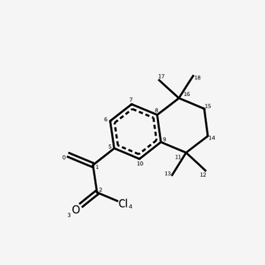 C=C(C(=O)Cl)c1ccc2c(c1)C(C)(C)CCC2(C)C